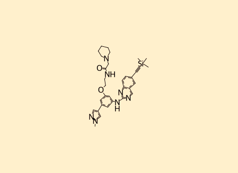 Cn1cc(-c2cc(Nc3ncc4cc(C#C[Si](C)(C)C)ccc4n3)cc(OCCNC(=O)CN3CCCCC3)c2)cn1